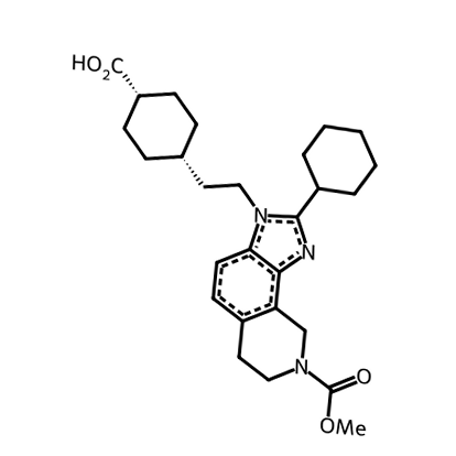 COC(=O)N1CCc2ccc3c(nc(C4CCCCC4)n3CC[C@H]3CC[C@@H](C(=O)O)CC3)c2C1